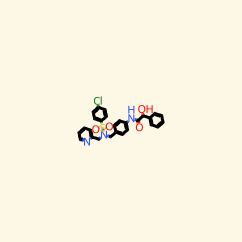 O=C(Nc1ccc(CN(Cc2ccccn2)S(=O)(=O)c2ccc(Cl)cc2)cc1)C(O)c1ccccc1